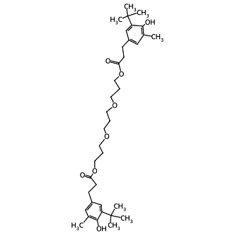 Cc1cc(CCC(=O)OCCCOCCCOCCCOC(=O)CCc2cc(C)c(O)c(C(C)(C)C)c2)cc(C(C)(C)C)c1O